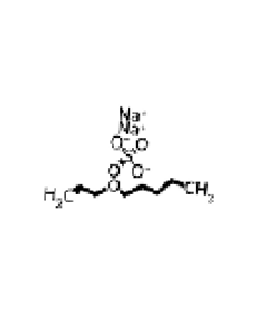 C=CCOCCCCC.O=S(=O)([O-])[O-].[Na+].[Na+]